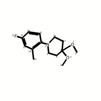 COC1(OC)CCN(c2ccc(F)cc2C)CC1